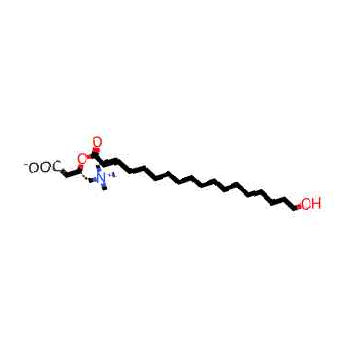 C[N+](C)(C)C[C@H](CC(=O)[O-])OC(=O)C=CCCCCCCCCCCCCCCCO